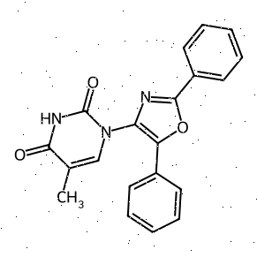 Cc1cn(-c2nc(-c3ccccc3)oc2-c2ccccc2)c(=O)[nH]c1=O